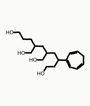 OCCCC(CO)CC(CO)CC(CCO)C1=CC=CCC=C1